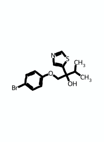 CC(C)C(O)(COc1ccc(Br)cc1)c1cncs1